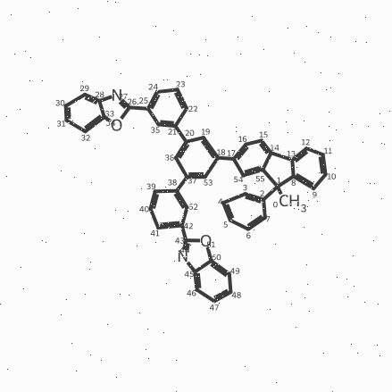 CC1(c2ccccc2)c2ccccc2-c2ccc(-c3cc(-c4cccc(-c5nc6ccccc6o5)c4)cc(-c4cccc(-c5nc6ccccc6o5)c4)c3)cc21